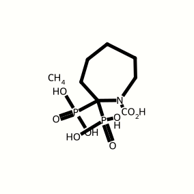 C.O=C(O)N1CCCCCC1(P(=O)(O)O)P(=O)(O)O